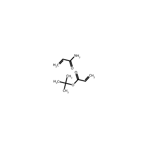 C=CC(=O)OC(C)(C)C.C=CC(N)=O